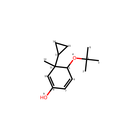 CC(C)(C)OC1C=CC(O)=CC1(C)C1CC1